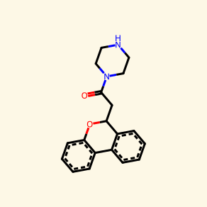 O=C(CC1Oc2ccccc2-c2ccccc21)N1CCNCC1